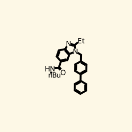 CCCCNC(=O)c1ccc2nc(CC)n(Cc3ccc(-c4ccccc4)cc3)c2c1